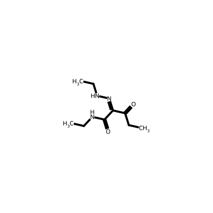 CCN/N=C(/C(=O)CC)C(=O)NCC